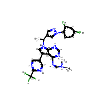 CC(c1cnn(-c2ccc(F)cc2F)c1)n1cc(-c2cnc(C(F)(F)F)nc2)c2c(/N=C\N(C)C)ncnc21